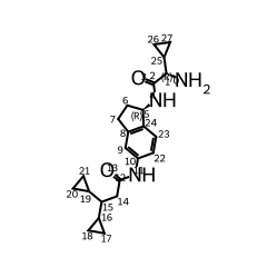 N[C@@H](C(=O)N[C@@H]1CCc2cc(NC(=O)CC(C3CC3)C3CC3)ccc21)C1CC1